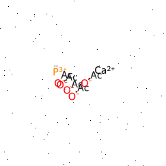 CC(=O)[O-].CC(=O)[O-].CC(=O)[O-].CC(=O)[O-].CC(=O)[O-].[Ca+2].[P+3]